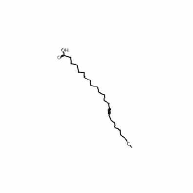 CCCCCCCCC#CCCCCCCCCCCCCCC(=O)O